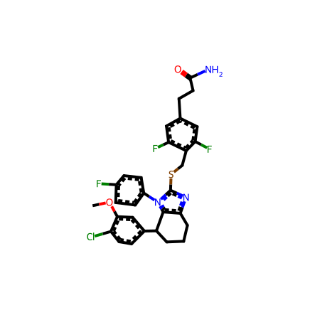 COc1cc(C2CCCc3nc(SCc4c(F)cc(CCC(N)=O)cc4F)n(-c4ccc(F)cc4)c32)ccc1Cl